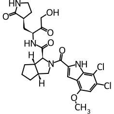 COc1cc(Cl)c(Cl)c2[nH]c(C(=O)N3C[C@@H]4CCC[C@@H]4[C@H]3C(=O)N[C@@H](C[C@@H]3CCNC3=O)C(=O)CO)cc12